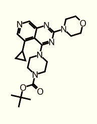 CC(C)(C)OC(=O)N1CCN(c2nc(N3CCOCC3)nc3cncc(C4CC4)c23)CC1